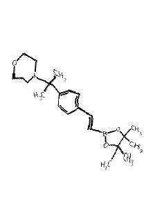 CC(C)(c1ccc(/C=C/B2OC(C)(C)C(C)(C)O2)cc1)N1CCOCC1